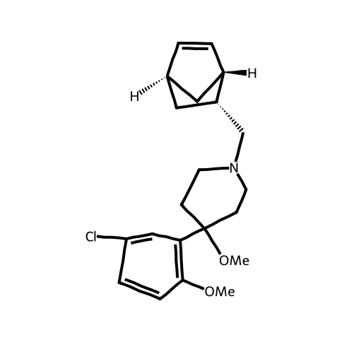 COc1ccc(Cl)cc1C1(OC)CCN(C[C@@H]2C[C@H]3C=C[C@H]2C3)CC1